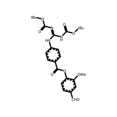 COc1cc(C=O)ccc1OC(=O)c1ccc(N/C(=N\C(=O)OC(C)(C)C)NC(=O)OC(C)(C)C)cc1